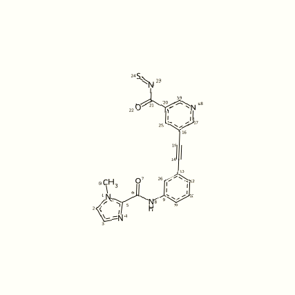 Cn1ccnc1C(=O)Nc1cccc(C#Cc2cncc(C(=O)N=S)c2)c1